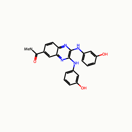 CNC(=O)c1ccc2nc(Nc3cccc(O)c3)c(Nc3cccc(O)c3)nc2c1